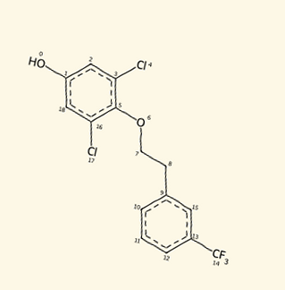 Oc1cc(Cl)c(OCCc2cccc(C(F)(F)F)c2)c(Cl)c1